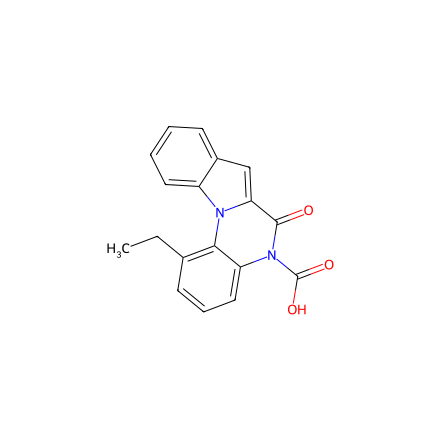 CCc1cccc2c1n1c(cc3ccccc31)c(=O)n2C(=O)O